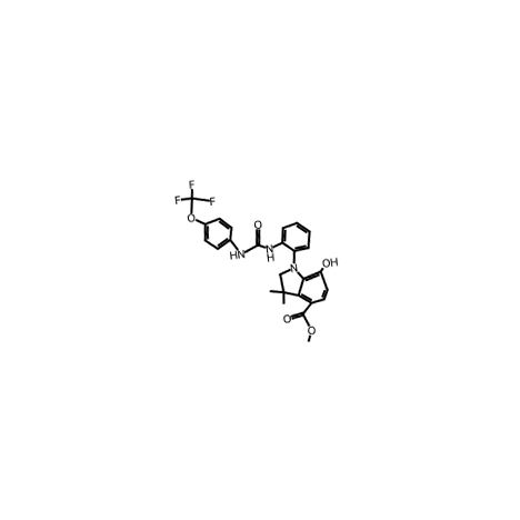 COC(=O)c1ccc(O)c2c1C(C)(C)CN2c1ccccc1NC(=O)Nc1ccc(OC(F)(F)F)cc1